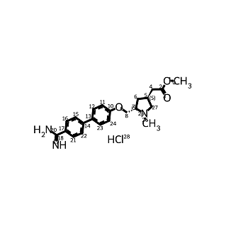 COC(=O)C[C@@H]1C[C@@H](COc2ccc(-c3ccc(C(=N)N)cc3)cc2)N(C)C1.Cl